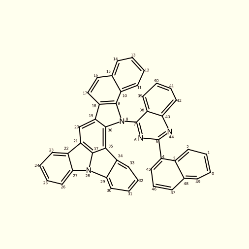 c1ccc2c(-c3nc(-n4c5c6ccccc6ccc5c5cc6c7ccccc7n7c8ccccc8c(c54)c67)c4ccccc4n3)cccc2c1